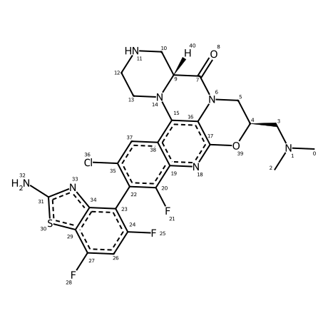 CN(C)C[C@@H]1CN2C(=O)[C@H]3CNCCN3c3c2c(nc2c(F)c(-c4c(F)cc(F)c5sc(N)nc45)c(Cl)cc32)O1